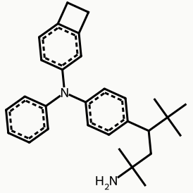 CC(C)(N)CC(c1ccc(N(c2ccccc2)c2ccc3c(c2)CC3)cc1)C(C)(C)C